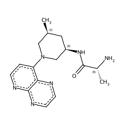 C[C@H]1C[C@@H](NC(=O)[C@@H](C)N)CN(c2ccnc3nccnc23)C1